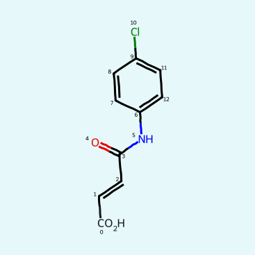 O=C(O)C=CC(=O)Nc1ccc(Cl)cc1